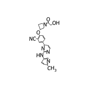 Cc1ccc(Nc2nccc(-c3ccc(O[C@@H]4CCN(C(=O)CO)C4)c(C#N)c3)n2)cn1